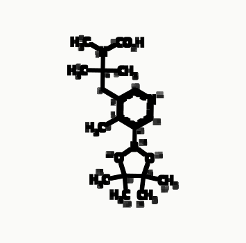 Cc1c(CC(C)(C)N(C)C(=O)O)cncc1B1OC(C)(C)C(C)(C)O1